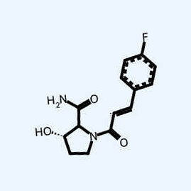 NC(=O)C1[C@@H](O)CCN1C(=O)/[C]=C/c1ccc(F)cc1